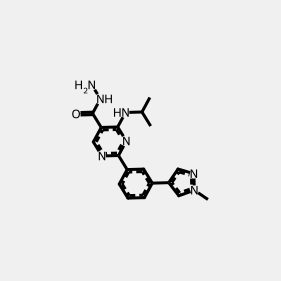 CC(C)Nc1nc(-c2cccc(-c3cnn(C)c3)c2)ncc1C(=O)NN